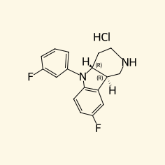 Cl.Fc1cccc(N2c3ccc(F)cc3[C@@H]3CNCC[C@H]32)c1